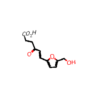 O=C(O)CCC(=O)C=Cc1ccc(CO)o1